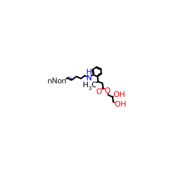 CCCCCCCCC/C=C/CCCNc1ccccc1C(C)CC(=O)OCC(O)CO